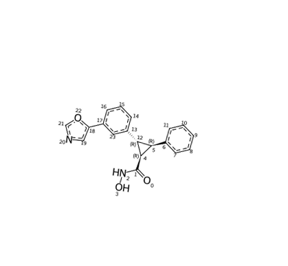 O=C(NO)[C@@H]1[C@H](c2ccccc2)[C@H]1c1cccc(-c2cnco2)c1